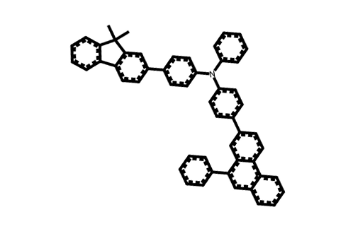 CC1(C)c2ccccc2-c2ccc(-c3ccc(N(c4ccccc4)c4ccc(-c5ccc6c(c5)c(-c5ccccc5)cc5ccccc56)cc4)cc3)cc21